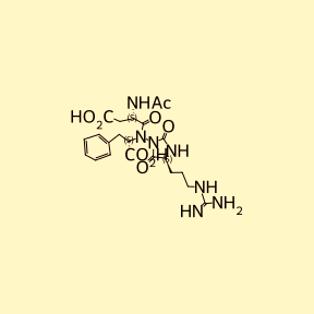 CC(=O)N[C@@H](CC(=O)O)C(=O)N([C@@H](Cc1ccccc1)C(=O)O)N1C(=O)N[C@@H](CCCNC(=N)N)C1=O